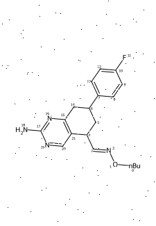 CCCCON=CC1CC(c2ccc(F)cc2)Cc2nc(N)ncc21